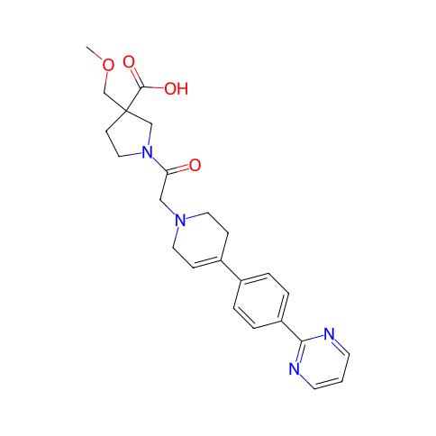 COCC1(C(=O)O)CCN(C(=O)CN2CC=C(c3ccc(-c4ncccn4)cc3)CC2)C1